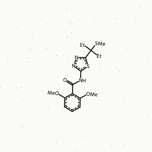 CCC(CC)(SC)c1nnc(NC(=O)c2c(OC)cccc2OC)s1